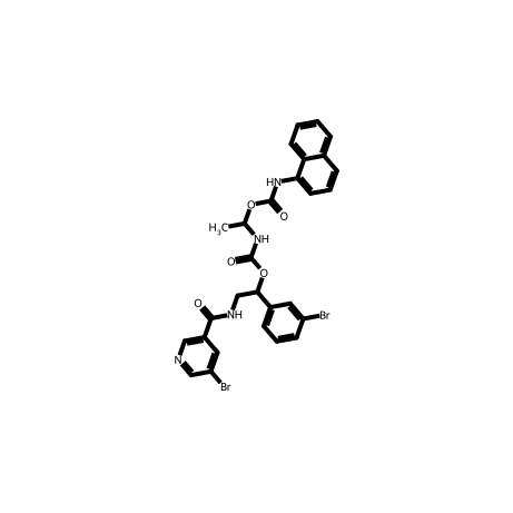 CC(NC(=O)OC(CNC(=O)c1cncc(Br)c1)c1cccc(Br)c1)OC(=O)Nc1cccc2ccccc12